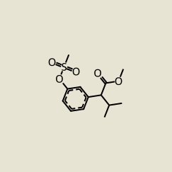 COC(=O)C(c1cccc(OS(C)(=O)=O)c1)C(C)C